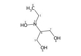 CCN(O)C(CO)CO